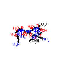 CC(C)[C@H](NC(=O)[C@H](CCCCN)NC(=O)[C@H](CO)NC(=O)[C@H](CCC(=O)O)NC(=O)[C@H](CO)NC(=O)CNC(=O)[C@H](CO)NC(=O)CNC(=O)[C@H](CO)NC(=O)[C@H](CO)NC(=O)[C@@H](N)CCCCN)C(=O)N[C@@H](CC(=O)O)C(=O)O